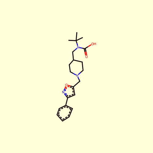 CC(C)(C)N(CC1CCN(Cc2cc(-c3ccccc3)no2)CC1)C(=O)O